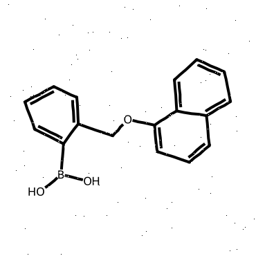 OB(O)c1ccccc1COc1cccc2ccccc12